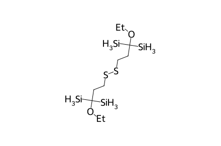 CCOC([SiH3])([SiH3])CCSSCCC([SiH3])([SiH3])OCC